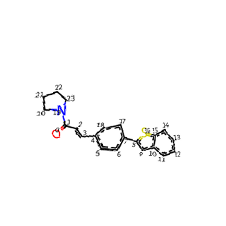 O=C(C=Cc1ccc(-c2cc3ccccc3s2)cc1)N1CCCC1